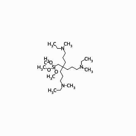 CCN(C)CCCC(CCCN(C)CC)(CCCN(C)CC)C[Si](OC)(OC)OC